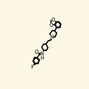 O=C(NC1CCC(CCN2CCC(c3cccc4c3OCO4)CC2)CC1)c1ccc(F)cc1